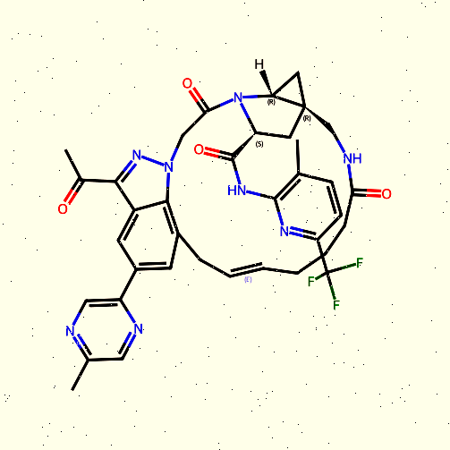 CC(=O)c1nn2c3c(cc(-c4cnc(C)cn4)cc13)C/C=C/CCCC(=O)NC[C@@]13C[C@@H](C(=O)Nc4nc(C(F)(F)F)ccc4C)N(C(=O)C2)[C@@H]1C3